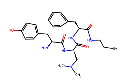 CC(C)CCNC(=O)[C@H](Cc1ccccc1)NC(=O)[C@@H](CN(C)C)NC(=O)[C@@H](N)Cc1ccc(O)cc1